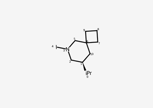 CC(C)[C@H]1CN(I)CC2(CCC2)C1